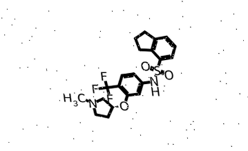 CN1CC[C@@H](Oc2cc(NS(=O)(=O)c3cccc4c3CCC4)ccc2C(F)(F)F)C1